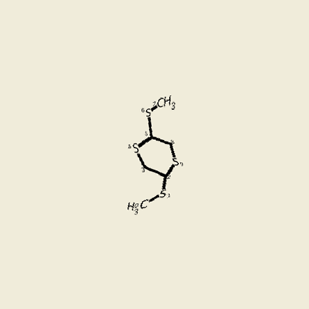 CSC1CSC(SC)CS1